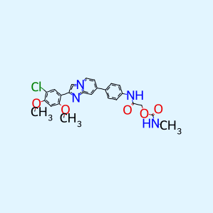 CNC(=O)OCC(=O)Nc1ccc(-c2ccn3cc(-c4cc(Cl)c(OC)cc4OC)nc3c2)cc1